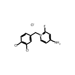 Nc1cc[n+](Cc2ccc(Cl)c(Cl)c2)c(F)c1.[Cl-]